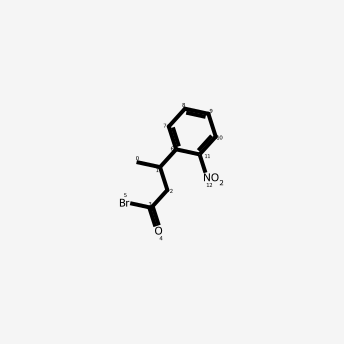 CC(CC(=O)Br)c1ccccc1[N+](=O)[O-]